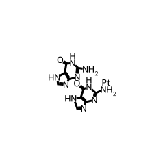 Nc1nc2nc[nH]c2c(=O)[nH]1.Nc1nc2nc[nH]c2c(=O)[nH]1.[Pt]